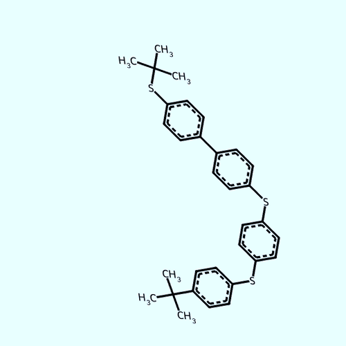 CC(C)(C)Sc1ccc(-c2ccc(Sc3ccc(Sc4ccc(C(C)(C)C)cc4)cc3)cc2)cc1